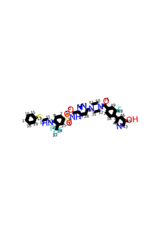 O=C(NS(=O)(=O)c1ccc(NCCSc2ccccc2)c(C(F)(F)F)c1)c1ccc(N2CCN(C(=O)c3ccc(-c4cncc(O)c4)c(F)c3)CC2)nn1